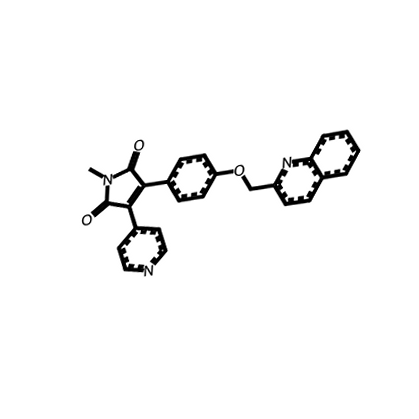 CN1C(=O)C(c2ccncc2)=C(c2ccc(OCc3ccc4ccccc4n3)cc2)C1=O